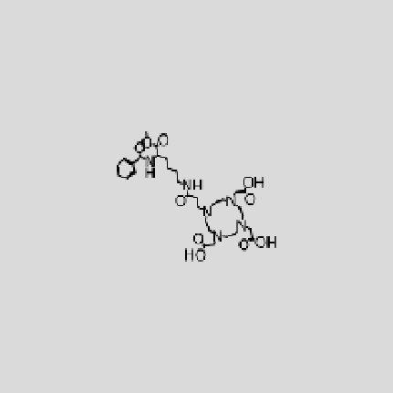 COC(=O)C(CCCCNC(=O)CCN1CCN(CC(=O)O)CCN(CC(=O)O)CCN(CC(=O)O)CC1)NC(=O)c1ccccc1